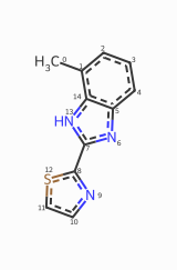 Cc1cccc2nc(-c3nccs3)[nH]c12